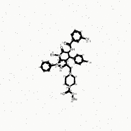 CCN1C(=O)C(NC(=O)c2cccc(C(F)(F)F)c2)C(c2ccc(F)cc2)c2c(CN3CCN(C(=O)OC(C)(C)C)CC3)nn(-c3ccccc3)c21